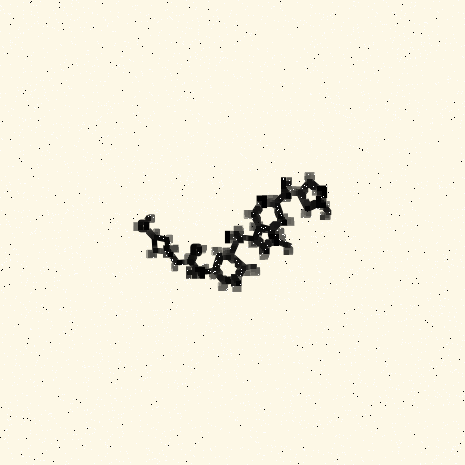 COC1CN(CC(=O)Nc2cnc(C)c(Nc3nn(C)c4nc(Nc5cnn(C)c5)ncc34)c2)C1